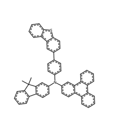 CC1(C)c2ccccc2-c2ccc(N(c3ccc(-c4ccc5sc6ccccc6c5c4)cc3)c3ccc4c5ccccc5c5ccccc5c4c3)cc21